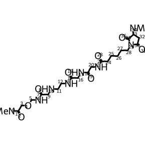 CNC(=O)COCNC(=O)CNCCNC(=O)CNC(=O)CNC(=O)CCCCCN1C(=O)CC(NC)C1=O